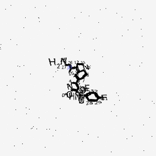 COc1ncc(-c2ccc3nccc(/C(C)=C/CN)c3c2)cc1NS(=O)(=O)c1ccc(F)cc1F